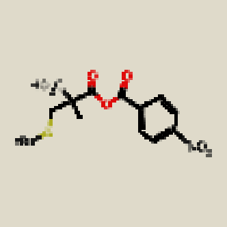 CC(C)(C)SCC(C)(C(=O)O)C(=O)OC(=O)c1ccc([N+](=O)[O-])cc1